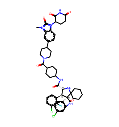 Cn1c(=O)n(C2CCC(=O)NC2=O)c2ccc(C3CCN(C(=O)C4CCC(NC(=O)[C@@H]5NC6(CCCCC6)[C@@]6(C(=O)Nc7cc(Cl)ccc76)[C@H]5c5cccc(Cl)c5F)CC4)CC3)cc21